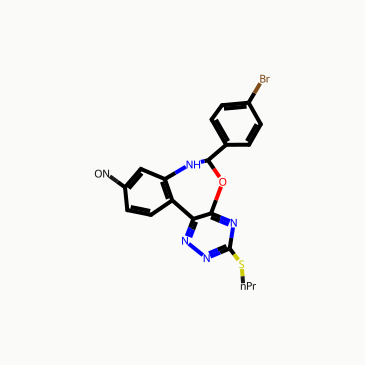 CCCSc1nnc2c(n1)OC(c1ccc(Br)cc1)Nc1cc(N=O)ccc1-2